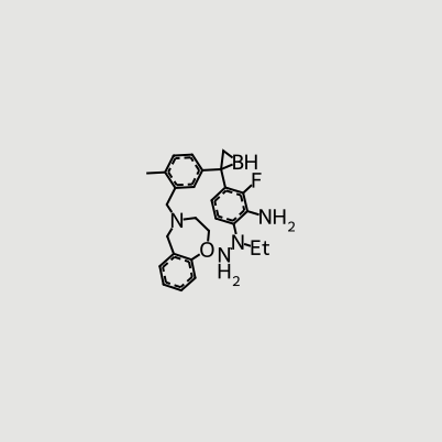 CCN(N)c1ccc(C2(c3ccc(C)c(CN4CCOc5ccccc5C4)c3)BC2)c(F)c1N